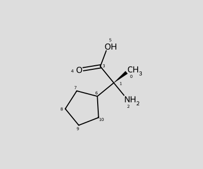 C[C@](N)(C(=O)O)C1CCCC1